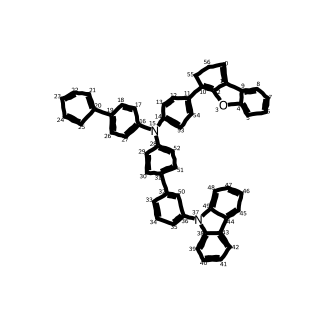 C1=c2c(oc3ccccc23)=C(c2ccc(N(c3ccc(-c4ccccc4)cc3)c3ccc(-c4cccc(-n5c6ccccc6c6ccccc65)c4)cc3)cc2)CC1